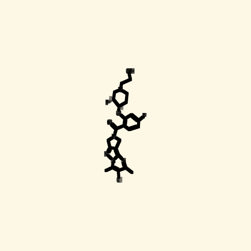 Cc1nc2c3c(nn2c(C)c1Cl)CN(C(=O)c1ccc(F)cc1O[C@@H]1CCN(CCO)C[C@H]1F)C3